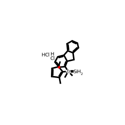 CC1=[C]([Zr]([CH3])([CH3])(=[SiH2])[c]2cccc3c2Cc2ccccc2-3)C(C)C=C1.Cl.Cl